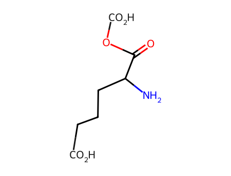 NC(CCCC(=O)O)C(=O)OC(=O)O